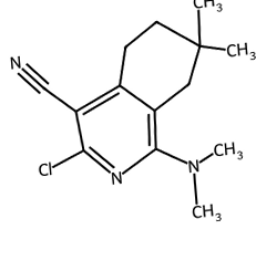 CN(C)c1nc(Cl)c(C#N)c2c1CC(C)(C)CC2